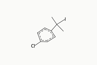 CC(C)(I)c1ccc(Cl)cc1